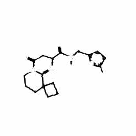 Cc1ccc(CN(O)C(=O)C2CC(=O)N3CCCC4(CCC4)C3=N2)s1